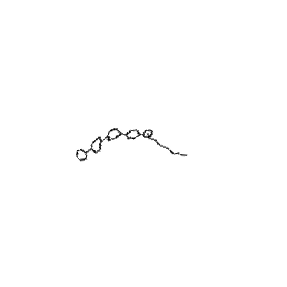 CCCCCCCCOc1ccc(-c2ccc(-c3ccc(-c4ccccc4)cc3)cc2)cc1